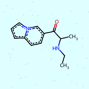 CCNC(C)C(=O)c1ccc2cccn2c1